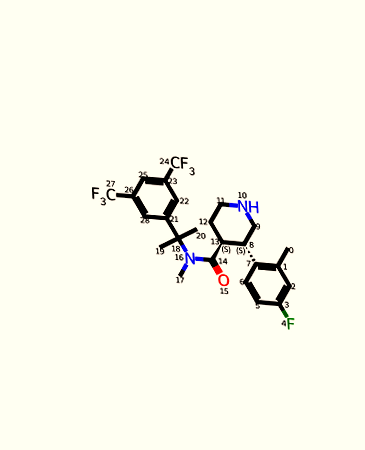 Cc1cc(F)ccc1[C@H]1CNCC[C@@H]1C(=O)N(C)C(C)(C)c1cc(C(F)(F)F)cc(C(F)(F)F)c1